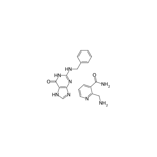 NCc1ncccc1C(N)=O.O=c1[nH]c(NCc2ccccc2)nc2nc[nH]c12